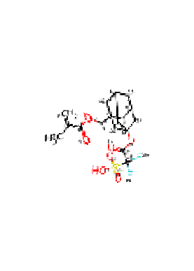 C=C(C)C(=O)OCC12CC3CC(C1)CC(OC(=O)C(F)(F)S(=O)(=O)O)(C3)C2